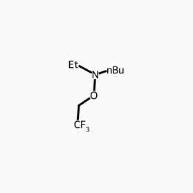 CCCCN(CC)OCC(F)(F)F